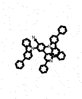 N#Cc1cc(-n2c3ccccc3c3cc(-c4ccccc4)ccc32)c(-c2cc(-c3ccccc3)nc(-c3ccccc3)c2)cc1-n1c2ccccc2c2cc(-c3ccccc3)ccc21